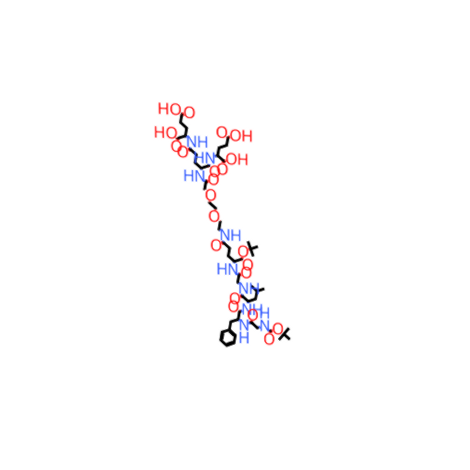 CC(C)CC(NC(=O)C(Cc1ccccc1)NC(=O)CNC(=O)OC(C)(C)C)C(=O)NCC(=O)NC(CCC(=O)NCCOCCOCC(=O)NC(CCC(=O)NC(CCC(=O)O)C(=O)O)C(=O)NC(CCC(=O)O)C(=O)O)C(=O)OC(C)(C)C